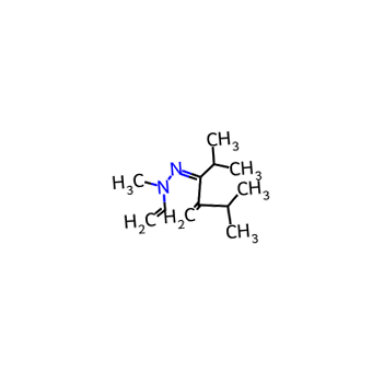 C=CN(C)/N=C(\C(=C)C(C)C)C(C)C